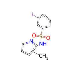 Cc1cccnc1NS(=O)(=O)c1cccc(I)c1